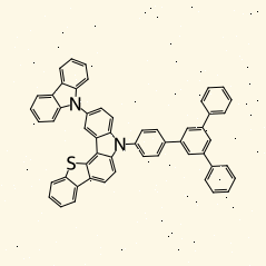 c1ccc(-c2cc(-c3ccccc3)cc(-c3ccc(-n4c5ccc(-n6c7ccccc7c7ccccc76)cc5c5c6sc7ccccc7c6ccc54)cc3)c2)cc1